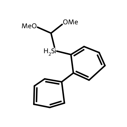 COC(OC)[SiH2]c1ccccc1-c1ccccc1